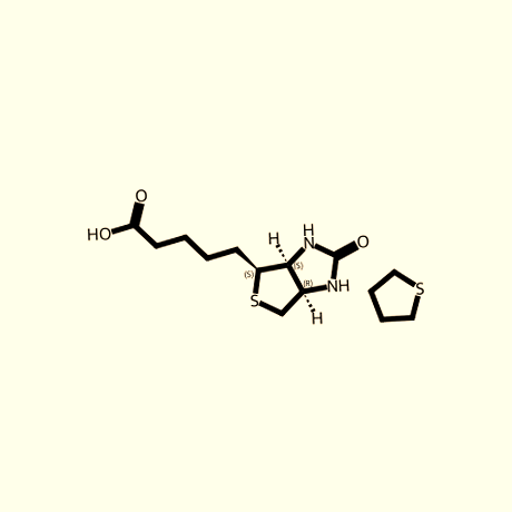 C1CCSC1.O=C(O)CCCC[C@@H]1SC[C@@H]2NC(=O)N[C@@H]21